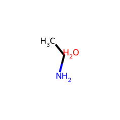 CCN.O